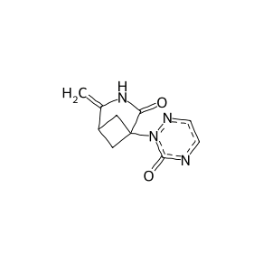 C=C1NC(=O)C2(n3nccnc3=O)CC1C2